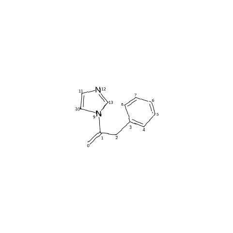 C=C(Cc1ccccc1)n1ccnc1